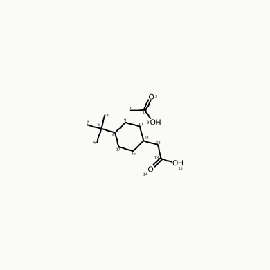 CC(=O)O.CC(C)(C)C1CCC(CC(=O)O)CC1